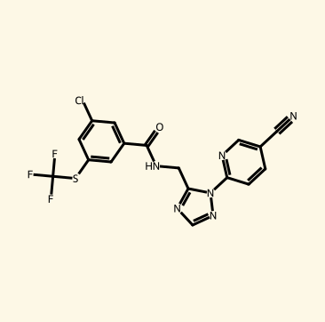 N#Cc1ccc(-n2ncnc2CNC(=O)c2cc(Cl)cc(SC(F)(F)F)c2)nc1